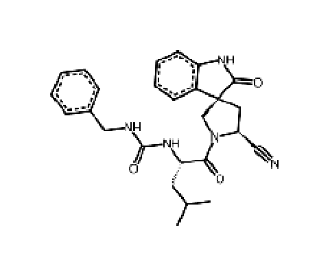 CC(C)C[C@H](NC(=O)NCc1ccccc1)C(=O)N1C[C@]2(C[C@H]1C#N)C(=O)Nc1ccccc12